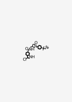 CN(C)CC(C)(C)c1ccc(N2CC(CNC(=O)c3ccc4c(Cl)c[nH]c4c3)CC2=O)cc1